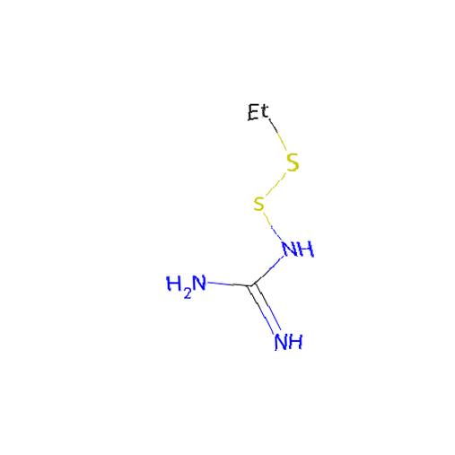 CCSSNC(=N)N